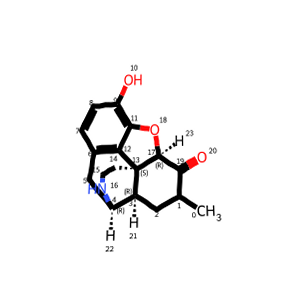 CC1C[C@H]2[C@H]3Cc4ccc(O)c5c4[C@@]2(CCN3)[C@@H](O5)C1=O